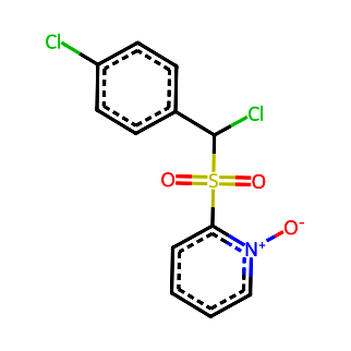 O=S(=O)(c1cccc[n+]1[O-])C(Cl)c1ccc(Cl)cc1